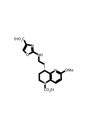 CCOC(=O)c1coc(NCC[C@H]2CCN(C(=O)OCC)c3ccc(OC)nc32)n1